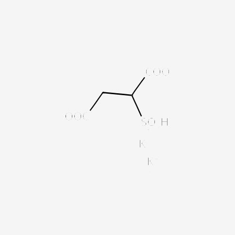 O=C([O-])CC(C(=O)[O-])S(=O)(=O)O.[K+].[K+]